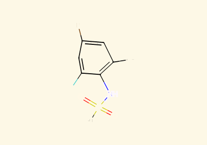 CC(C)(C)S(=O)(=O)Nc1c(F)cc(Br)cc1C(F)(F)F